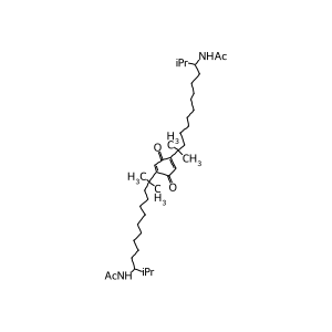 CC(=O)NC(CCCCCCCCCC(C)(C)C1=CC(=O)C(C(C)(C)CCCCCCCCCC(NC(C)=O)C(C)C)=CC1=O)C(C)C